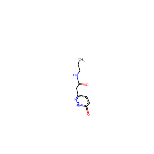 CCCNC(=O)Cc1ccc(=O)[nH]n1